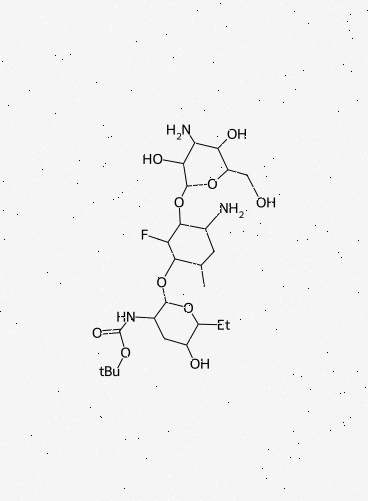 CCC1OC(OC2C(C)CC(N)C(OC3OC(CO)C(O)C(N)C3O)C2F)C(NC(=O)OC(C)(C)C)CC1O